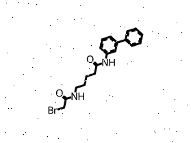 O=C(CBr)NCCCCC(=O)Nc1cccc(-c2ccccc2)c1